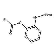 CCCCCNc1ccccc1OC(=O)CC